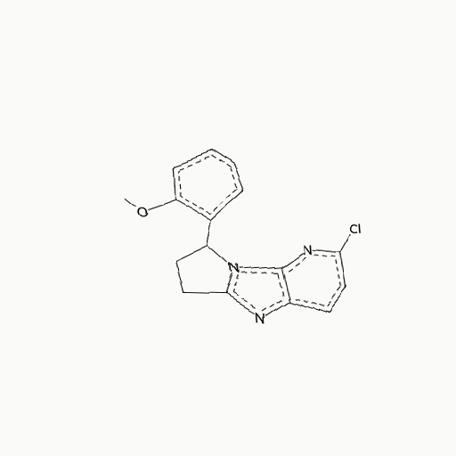 COc1ccccc1C1CCc2nc3ccc(Cl)nc3n21